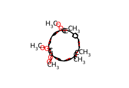 COCOC12CCC(C)(CC1)c1ccc(cc1)-c1ccc(cc1)C1(C)CCC(C)(CC1)c1ccc(cc1)-c1ccc(cc1)C1(OCOC)CCC(OCOC)(CC1)c1ccc(cc1)-c1ccc2cc1